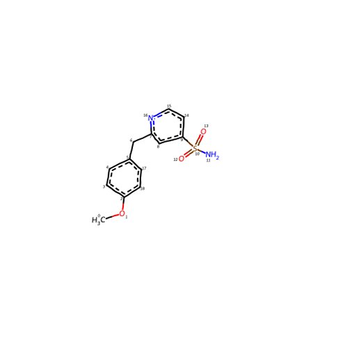 COc1ccc(Cc2cc(S(N)(=O)=O)ccn2)cc1